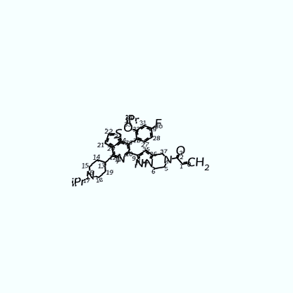 C=CC(=O)N1CCn2nc(-c3nc(C4CCN(C(C)C)CC4)c4ccsc4c3-c3ccc(F)cc3OC(C)C)cc2C1